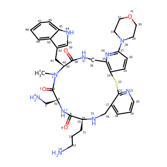 CN1C(=O)[C@H](CN)NC(=O)[C@H](CCCN)NCc2cccnc2Sc2ccc(N3CCOCC3)nc2CNC(=O)[C@@H]1Cc1c[nH]c2ccccc12